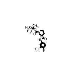 Cc1cc(NC(=O)[C@H]2CCCN(C(=O)OC(C)(C)C)C2)ccc1F